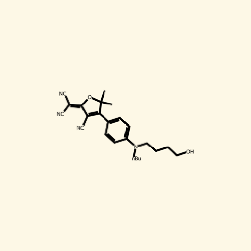 CCCCN(CCCCO)c1ccc(C2=C(C#N)C(=C(C#N)C#N)OC2(C)C)cc1